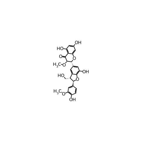 COc1cc([C@@H]2Oc3c(O)cc([C@H]4Oc5cc(O)cc(O)c5C(=O)[C@@H]4OC)cc3[C@H]2CO)ccc1O